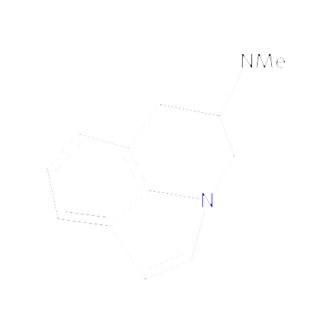 CNC1Cc2cccc3ccn(c23)C1